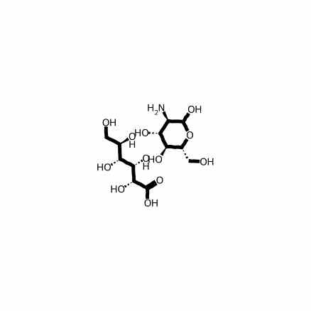 N[C@H]1C(O)O[C@H](CO)[C@@H](O)[C@@H]1O.O=C(O)[C@H](O)[C@@H](O)[C@H](O)[C@H](O)CO